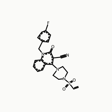 C=CS(=O)(=O)N1CCN(c2c(C#N)c(=O)n(Cc3ccc(F)cc3)c3ccccc23)CC1